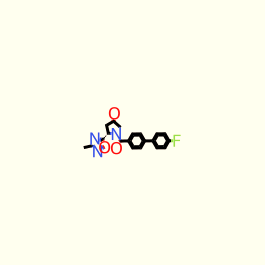 Cc1noc([C@@H]2CC(=O)CN2C(=O)c2ccc(-c3ccc(F)cc3)cc2)n1